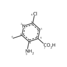 Cc1nc(Cl)cc(C(=O)O)c1N